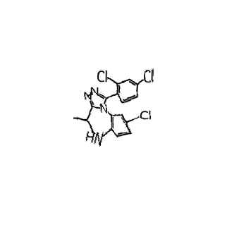 CC1CNc2ccc(Cl)cc2-n2c(-c3ccc(Cl)cc3Cl)nnc21